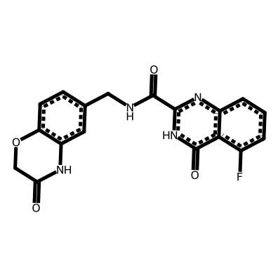 O=C1COc2ccc(CNC(=O)c3nc4cccc(F)c4c(=O)[nH]3)cc2N1